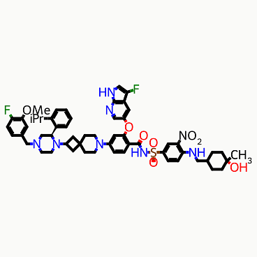 COc1cc(CN2CCN(C3CC4(CCN(c5ccc(C(=O)NS(=O)(=O)c6ccc(NCC7CCC(C)(O)CC7)c([N+](=O)[O-])c6)c(Oc6cnc7[nH]cc(F)c7c6)c5)CC4)C3)[C@H](c3ccccc3C(C)C)C2)ccc1F